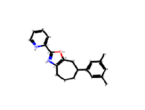 Cc1cc(C)cc(C2CCCc3nc(-c4ccccn4)oc3C2)c1